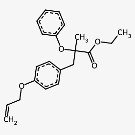 C=CCOc1ccc(CC(C)(Oc2ccccc2)C(=O)OCC)cc1